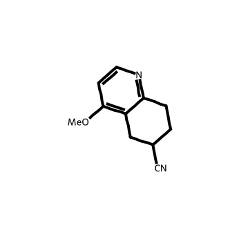 COc1ccnc2c1CC(C#N)CC2